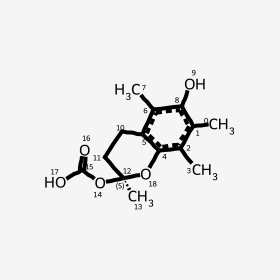 Cc1c(C)c2c(c(C)c1O)CC[C@](C)(OC(=O)O)O2